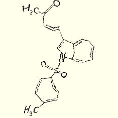 CC(=O)C=Cc1cn(S(=O)(=O)c2ccc(C)cc2)c2ccccc12